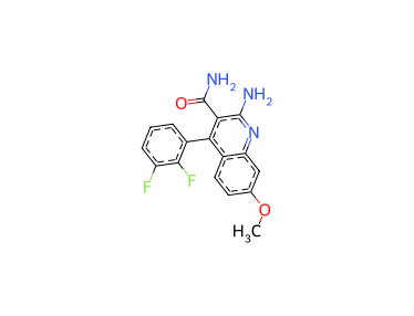 COc1ccc2c(-c3cccc(F)c3F)c(C(N)=O)c(N)nc2c1